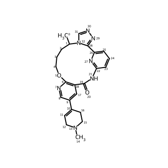 CC1CCCOc2ncc(C3=CCN(C)CC3)cc2C(=O)Nc2cccc(n2)-c2nncn21